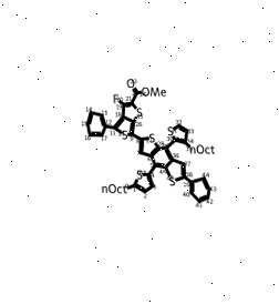 CCCCCCCCc1ccc(-c2c3cc(-c4sc(-c5ccccc5)c5c(F)c(C(=O)OC)sc45)sc3c(-c3sccc3CCCCCCCC)c3cc(-c4ccccc4)sc23)s1